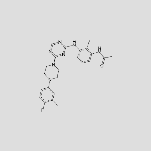 CC(=O)Nc1cccc(Nc2ncnc(N3CCN(c4ccc(F)c(C)c4)CC3)n2)c1C